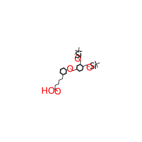 CC(C)(C)[Si](C)(C)OCc1ccc(COc2cccc(CCCCC(=O)O)c2)cc1CO[Si](C)(C)C(C)(C)C